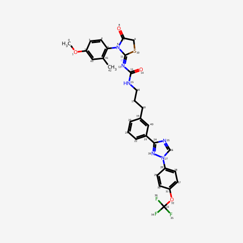 COc1ccc(N2C(=O)CS/C2=N\C(=O)NCCCc2cccc(-c3ncn(-c4ccc(OC(F)(F)F)cc4)n3)c2)c(C)c1